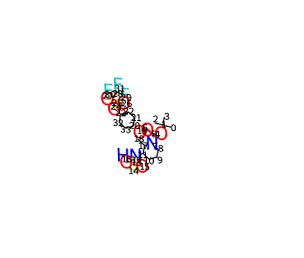 CC(C)(C)OC(=O)N1CCCC(NS(C)(=O)=O)C1CO[C@H]1CC=C(OS(=O)(=O)C(F)(F)F)CC1